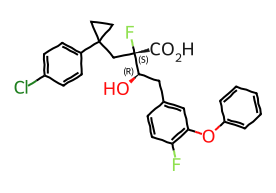 O=C(O)[C@](F)(CC1(c2ccc(Cl)cc2)CC1)[C@H](O)Cc1ccc(F)c(Oc2ccccc2)c1